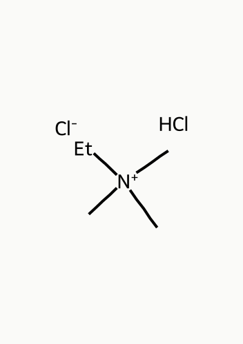 CC[N+](C)(C)C.Cl.[Cl-]